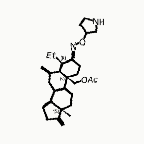 C=C1CC2C(CC[C@]3(C)C(=C)CCC23)[C@@]2(COC(C)=O)CCC(=NOC3CCNC3)[C@H](CC)C12